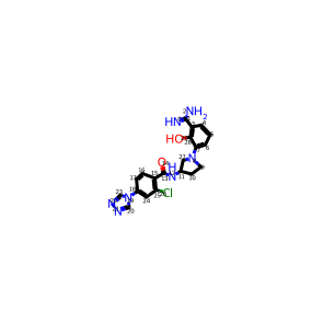 N=C(N)c1cccc(N2CCC(NC(=O)c3ccc(-n4cnnc4)cc3Cl)C2)c1O